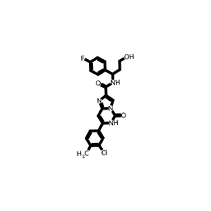 Cc1ccc(-c2cc3nc(C(=O)NC(CCO)c4ccc(F)cc4)cn3c(=O)[nH]2)cc1Cl